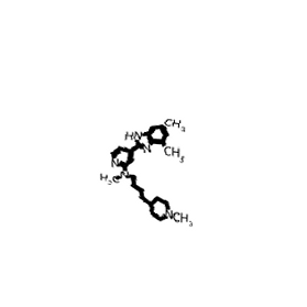 Cc1cc(C)c2nc(-c3ccnc(N(C)CCCCC4CCN(C)CC4)c3)[nH]c2c1